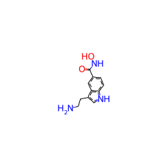 NCCc1c[nH]c2ccc(C(=O)NO)cc12